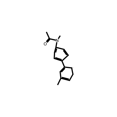 CC(=O)N(C)c1ccc(C2=CC(C)=CC[CH]2)cc1